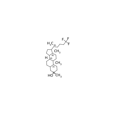 C[C@H](CCCC(F)(F)F)C1CCC2[C@@H]3CCC4C[C@@](C)(O)CC[C@]4(C)C3CC[C@@]21C